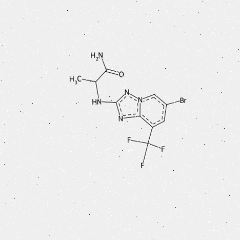 CC(Nc1nc2c(C(F)(F)F)cc(Br)cn2n1)C(N)=O